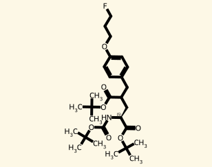 CC(C)(C)OC(=O)N[C@@H](CC(Cc1ccc(OCCCF)cc1)C(=O)OC(C)(C)C)C(=O)OC(C)(C)C